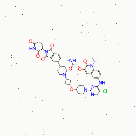 CNC(=O)COc1cc2cc(Nc3nc(N4CCC(O[C@H]5C[C@H](N6CCC(c7ccc8c(c7)C(=O)N(C7CCC(=O)NC7=O)C8=O)CC6)C5)CC4)ncc3Cl)ccc2n(C(C)C)c1=O